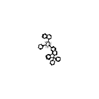 c1ccc(-c2nc(-c3ccc4ccc5c(c4c3)-c3ccccc3C5(c3ccccc3)c3ccccc3)nc(-c3cccc4ccccc34)n2)cc1